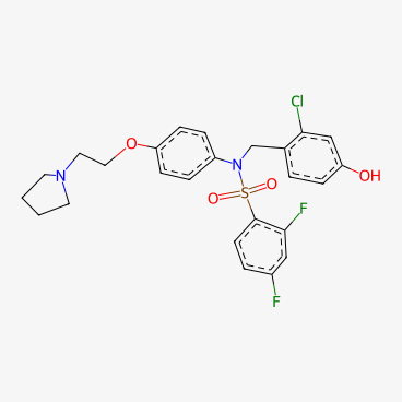 O=S(=O)(c1ccc(F)cc1F)N(Cc1ccc(O)cc1Cl)c1ccc(OCCN2CCCC2)cc1